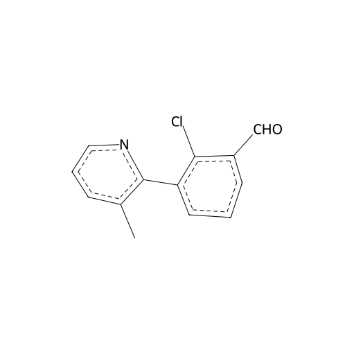 Cc1cccnc1-c1cccc(C=O)c1Cl